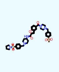 CS(=O)(=O)c1ccc(CN2CCN(C(=O)c3ccc4oc(C(=O)NC5CCN(Cc6ccc(S(=O)(=O)N7CCCC7)cc6)CC5)cc4c3)CC2)cc1